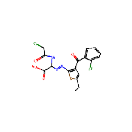 CCc1cc(C(=O)c2ccccc2Cl)c(N=NC(NC(=O)CCl)C(=O)O)s1